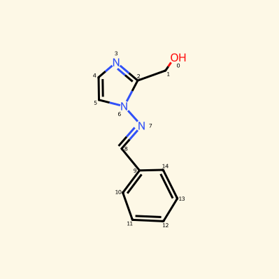 OCc1nccn1N=Cc1ccccc1